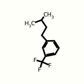 CC(C)CCc1cccc(C(F)(F)F)c1